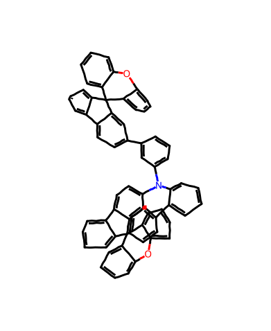 c1ccc(-c2ccccc2N(c2cccc(-c3ccc4c(c3)C3(c5ccccc5Oc5ccccc53)c3ccccc3-4)c2)c2ccc3c(c2)C2(c4ccccc4Oc4ccccc42)c2ccccc2-3)cc1